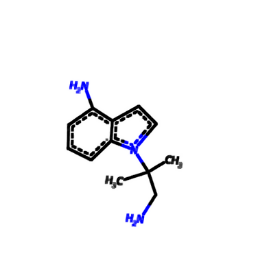 CC(C)(CN)n1ccc2c(N)cccc21